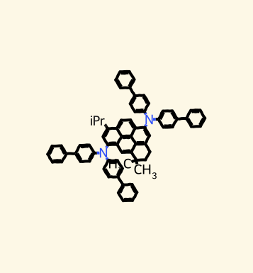 CC(C)c1cc(N(c2ccc(-c3ccccc3)cc2)c2ccc(-c3ccccc3)cc2)c2cc3c4c(cc(N(c5ccc(-c6ccccc6)cc5)c5ccc(-c6ccccc6)cc5)c5ccc1c2c54)CCC3(C)C